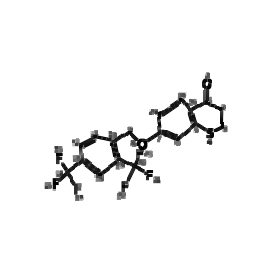 O=C1CCSc2cc(OCc3ccc(C(F)(F)F)cc3C(F)(F)F)ccc21